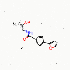 C[C@H](O)CNC(=O)c1ccc(-c2ccco2)cc1